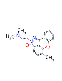 Cc1ccc2c3c1Oc1ccccc1C3=N[N+]2([O-])CCN(C)C